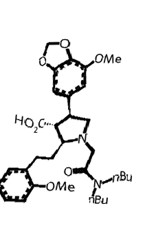 CCCCN(CCCC)C(=O)CN1C[C@H](c2cc(OC)c3c(c2)OCO3)[C@@H](C(=O)O)[C@@H]1CCc1ccccc1OC